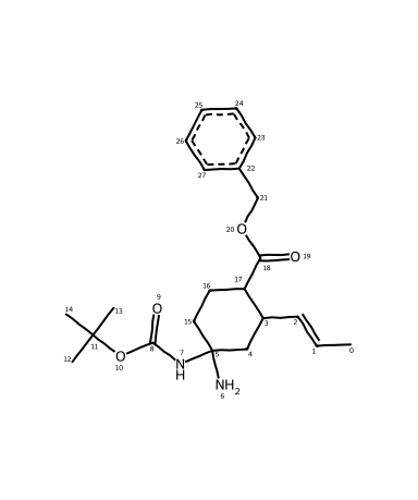 CC=CC1CC(N)(NC(=O)OC(C)(C)C)CCC1C(=O)OCc1ccccc1